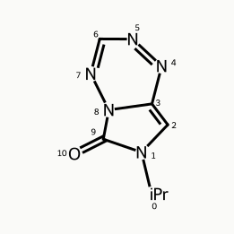 CC(C)n1cc2nncnn2c1=O